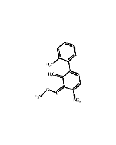 C=C1C(c2ccccc2C)=CC=C([N+](=O)[O-])/C1=N/ON